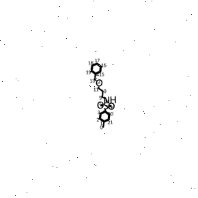 Cc1ccc(S(=O)(=O)NCCCOCc2ccccc2)cc1